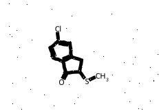 CSC1Cc2cc(Cl)ccc2C1=O